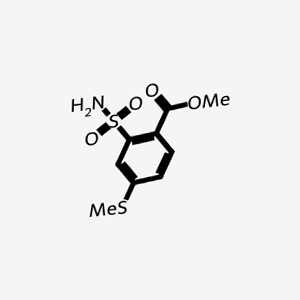 COC(=O)c1ccc(SC)cc1S(N)(=O)=O